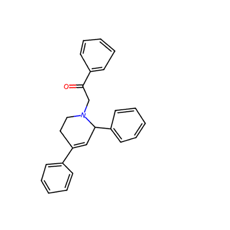 O=C(CN1CCC(c2ccccc2)=CC1c1ccccc1)c1ccccc1